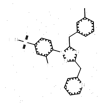 Cc1cccc(Cc2nc(Cc3ccccn3)nn2-c2ccc(S(N)(=O)=O)cc2F)c1